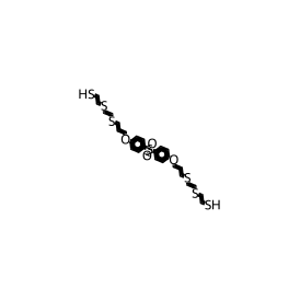 O=S(=O)(c1ccc(OCCCSCCSCCS)cc1)c1ccc(OCCCSCCSCCS)cc1